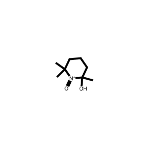 CC1(C)CCCC(C)(O)[N+]1=O